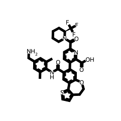 Cc1cc(CN)cc(C)c1NC(=O)c1cc2c(cc1-c1ccc(C(=O)N3CCCC[C@H]3C(F)(F)F)nc1C(=O)O)OCCc1ccsc1-2